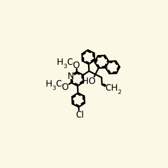 C=CCC(O)(c1cccc2ccccc12)C(c1ccccc1)c1cc(-c2ccc(Cl)cc2)c(OC)nc1OC